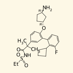 CCS(=O)(=O)NC(=O)C(C)(C)c1ccc(O[C@@H]2CC[C@@H](N)C2)c(-c2cccc(F)c2C2CCC2)c1